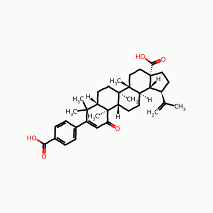 C=C(C)[C@@H]1CC[C@]2(C(=O)O)CC[C@]3(C)[C@H](CC[C@@H]4[C@@]5(C)C(=O)C=C(c6ccc(C(=O)O)cc6)C(C)(C)[C@@H]5CC[C@]43C)[C@@H]12